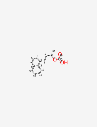 CC(C=Cc1cccc2ccccc12)OC(=O)O